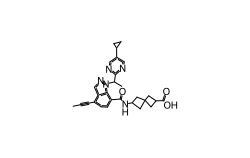 CC#Cc1ccc(C(=O)NC2CC3(C2)CC(C(=O)O)C3)c2c1cnn2C(C)c1ncc(C2CC2)cn1